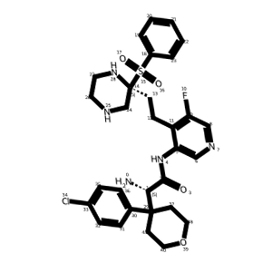 N[C@H](C(=O)Nc1cncc(F)c1CC[C@]1(S(=O)(=O)c2ccccc2)CNCCN1)C1(c2ccc(Cl)cc2)CCOCC1